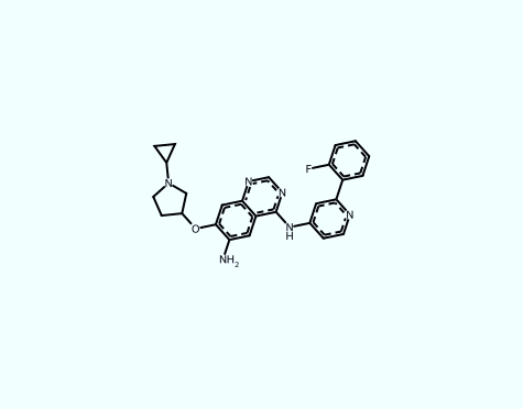 Nc1cc2c(Nc3ccnc(-c4ccccc4F)c3)ncnc2cc1OC1CCN(C2CC2)C1